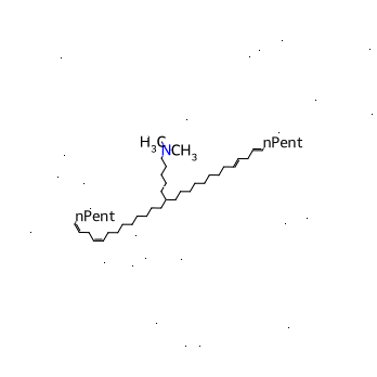 CCCCCC=CCC=CCCCCCCCCC(CCCCCCCC/C=C\C/C=C\CCCCC)CCCCCN(C)C